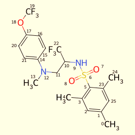 Cc1cc(C)c(S(=O)(=O)NC(CN(C)c2ccc(OC(F)(F)F)cc2)C(F)(F)F)c(C)c1